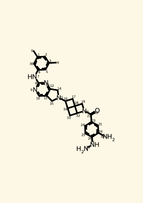 Cc1cc(C)cc(Nc2ncc3c(n2)CN(C2CC45CN(C(=O)c6ccc(NN)c(N)c6)C4CC25)C3)c1